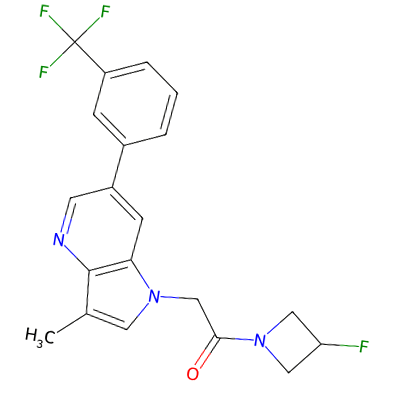 Cc1cn(CC(=O)N2CC(F)C2)c2cc(-c3cccc(C(F)(F)F)c3)cnc12